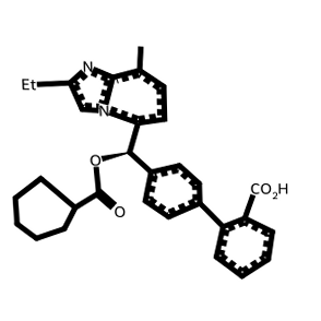 CCc1cn2c([C@H](OC(=O)C3CCCCC3)c3ccc(-c4ccccc4C(=O)O)cc3)ccc(C)c2n1